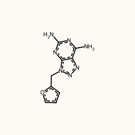 Nc1nc(N)c2nnn(Cc3ccco3)c2n1